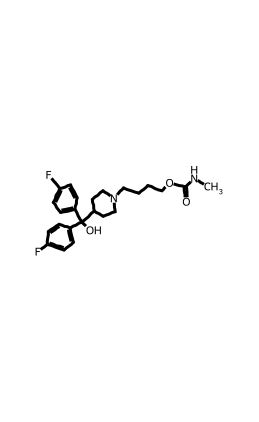 CNC(=O)OCCCCN1CCC(C(O)(c2ccc(F)cc2)c2ccc(F)cc2)CC1